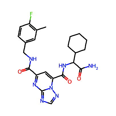 Cc1cc(CNC(=O)c2cc(C(=O)NC(C(N)=O)C3CCCCC3)n3ncnc3n2)ccc1F